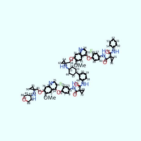 COc1cc2c(Oc3ccc(NC(=O)C4(C(=O)Nc5cccc(C6CCC(NC7(COc8cc9nccc(Oc%10ccc(NC(=O)C%11(C(=O)Nc%12ccccc%12)CC%11)cc%10F)c9cc8OC)CC7)CC6)c5)CC4)cc3F)ccnc2cc1OCC1(NC2CCOCC2)CC1